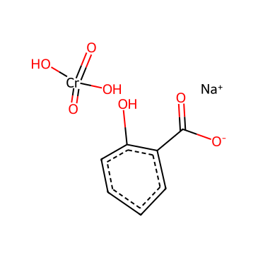 O=C([O-])c1ccccc1O.[Na+].[O]=[Cr](=[O])([OH])[OH]